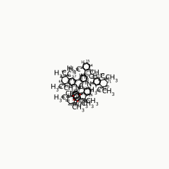 Cc1cc2c(cc1N1c3cc(-c4c(C)cccc4C)cc4c3B(c3c1ccc1c3-c3ccccc3C1(C)C)N(c1ccc3c(c1)C(C)(C)CCC3(C)C)c1cc3c(cc1-4)C(C)(C)CCC3(C)C)C(C)(C)CCC2(C)C